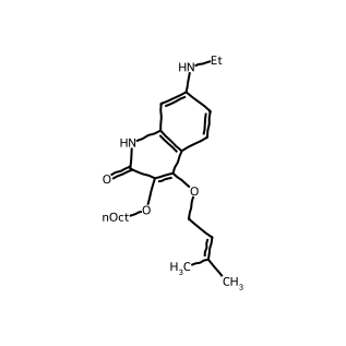 CCCCCCCCOc1c(OCC=C(C)C)c2ccc(NCC)cc2[nH]c1=O